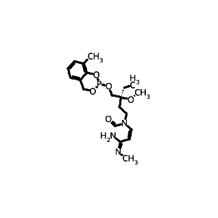 CC[C@](CCN(C=O)/C=C\C(N)=N/C)(COP1OCc2cccc(C)c2O1)OC